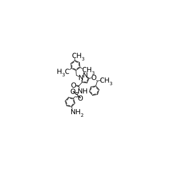 Cc1cc(C)c(Cn2nc(OC(C)c3ccccc3)cc2C(=O)NS(=O)(=O)c2cccc(N)c2)c(C)c1